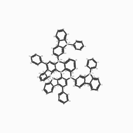 c1ccc(-c2cc3c(c4sc5ccccc5c24)B2c4c(cccc4N(c4ccc5c6ccccc6n(-c6ccccc6)c5c4)c4cc(-c5ccccc5)c5c(sc6ccccc65)c42)N3c2ccc3c4ccccc4n(-c4ccccc4)c3c2)cc1